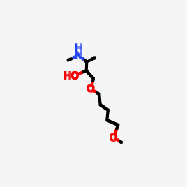 CN[C@@H](C)C(O)COCCCCCOC